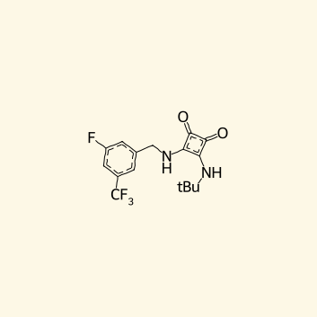 CC(C)(C)Nc1c(NCc2cc(F)cc(C(F)(F)F)c2)c(=O)c1=O